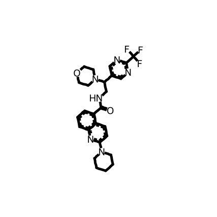 O=C(NCC(c1cnc(C(F)(F)F)nc1)N1CCOCC1)c1cccc2nc(N3CCCCC3)ccc12